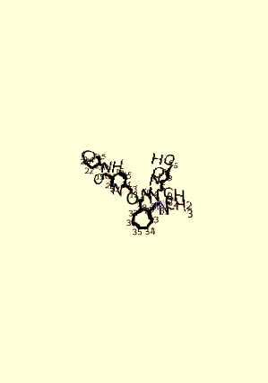 C=C(c1cc(CO)on1)n1nc(OCc2ccc(C(=O)NC3CCOC3)cn2)c2c(/c1=N/C)=CCC=CC=2